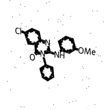 COc1cccc(Nc2nc3ccc(Cl)cc3c(=O)n2-c2ccccc2)c1